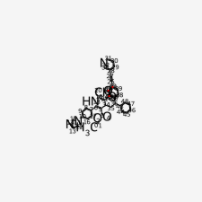 CCOC(=O)C1=C(c2ccc(-n3ccnc3)cc2)NC(C)=C(C(=O)OCC#Cc2cccnc2)C1CC(c1ccccc1)c1ccccc1